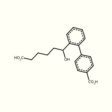 O=C(O)CCCCC(O)c1ccccc1-c1ccc(C(=O)O)cc1